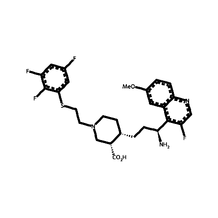 COc1ccc2ncc(F)c([C@@H](N)CC[C@H]3CCN(CCSc4cc(F)cc(F)c4F)C[C@H]3C(=O)O)c2c1